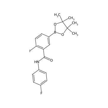 CC1(C)OB(c2ccc(I)c(C(=O)Nc3ccc(F)cc3)c2)OC1(C)C